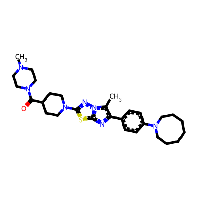 Cc1c(-c2ccc(N3CCCCCCC3)cc2)nc2sc(N3CCC(C(=O)N4CCN(C)CC4)CC3)nn12